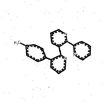 Cc1ccc(-c2cccnc2-c2cccnc2-c2ccccn2)cc1